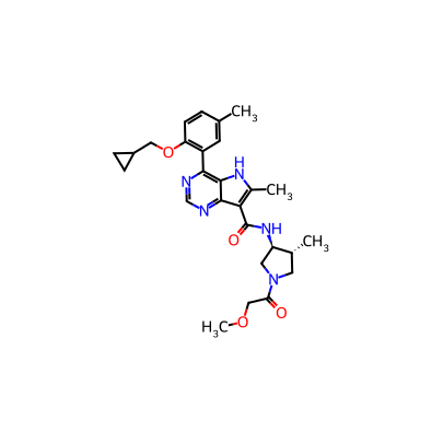 COCC(=O)N1C[C@@H](C)[C@H](NC(=O)c2c(C)[nH]c3c(-c4cc(C)ccc4OCC4CC4)ncnc23)C1